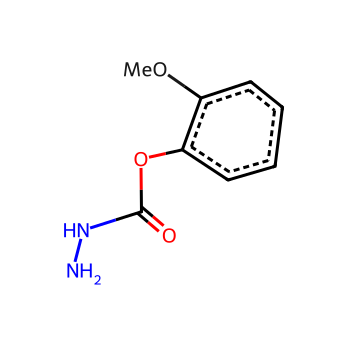 COc1ccccc1OC(=O)NN